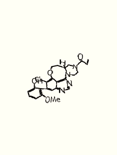 C=CC(=O)N1CCN2c3ncnc4cc(-c5c(O)cccc5OC)c(Cl)c(c34)OCC[C@@H]2C1